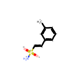 Cc1cccc(C=CS(N)(=O)=O)c1